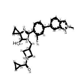 Cn1cc2ccc(-c3ccc(C4=NC5(CC5)C(O)N4CC4CN(C(=O)C5CC5)C4)c(F)c3)cc2n1